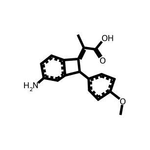 COc1ccc(C2C(=C(C)C(=O)O)c3ccc(N)cc32)cc1